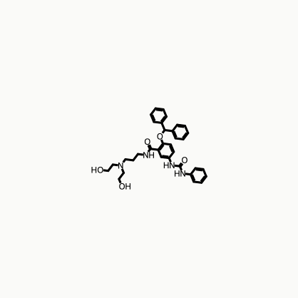 O=C(Nc1ccccc1)Nc1ccc(OC(c2ccccc2)c2ccccc2)c(C(=O)NCCCN(CCO)CCO)c1